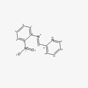 O=[N+]([O-])c1ccccc1N=Cc1ccccn1